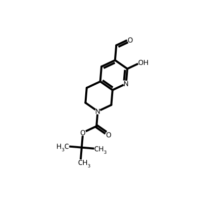 CC(C)(C)OC(=O)N1CCc2cc(C=O)c(O)nc2C1